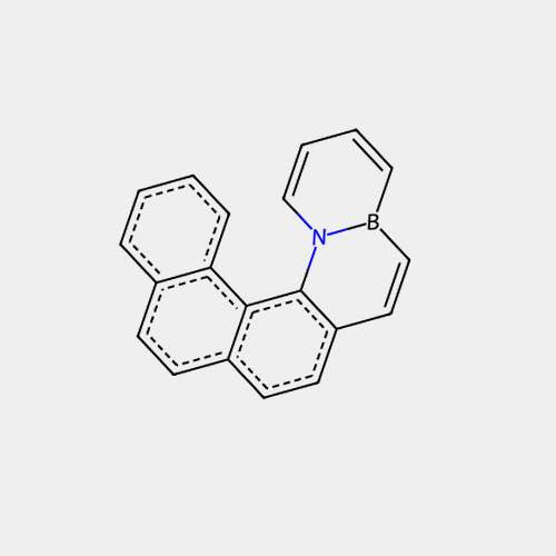 C1=CB2C=Cc3ccc4ccc5ccccc5c4c3N2C=C1